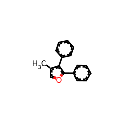 Cc1coc(-c2ccccc2)c1-c1ccccc1